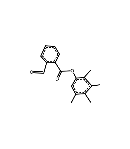 Cc1cc(OC(=O)c2ccccc2C=O)c(C)c(C)c1C